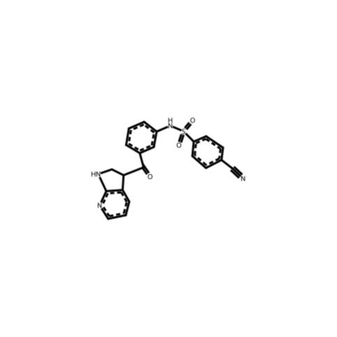 N#Cc1ccc(S(=O)(=O)Nc2cccc(C(=O)C3CNc4ncccc43)c2)cc1